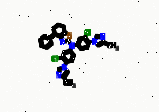 Cc1cn(-c2ccc(N(c3ccc(-n4cnc(C)c4)c(Cl)c3)c3nc4c(s3)CCCC4c3ccccc3)cc2Cl)cn1